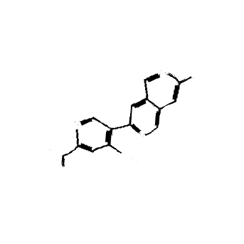 Cc1cc2cnc(-c3cnc([C@H](C)C(F)(F)F)cc3C)cc2cn1